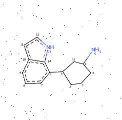 NC1CCCC(c2cccc3cc[nH]c23)C1